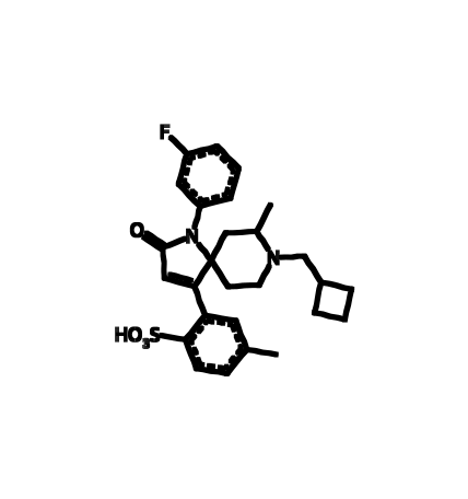 Cc1ccc(S(=O)(=O)O)c(C2=CC(=O)N(c3cccc(F)c3)C23CCN(CC2CCC2)C(C)C3)c1